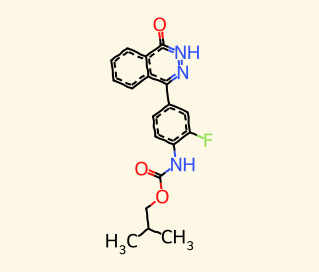 CC(C)COC(=O)Nc1ccc(-c2n[nH]c(=O)c3ccccc23)cc1F